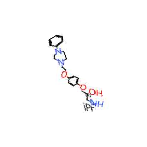 CC(C)NC[C@@H](O)COc1ccc(OCCN2CCN(c3ccccc3)CC2)cc1